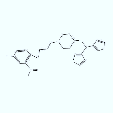 Cc1ccc(OCCCN2CCC(OC(c3ccsc3)c3ccsc3)CC2)c([N+](=O)[O-])c1